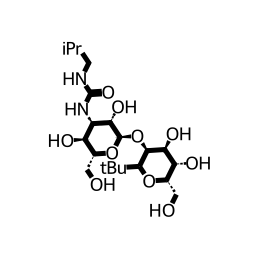 CC(C)CNC(=O)N[C@@H]1[C@H](O)[C@@H](O[C@@H]2C(C(C)(C)C)O[C@@H](CO)[C@@H](O)[C@@H]2O)O[C@H](CO)[C@H]1O